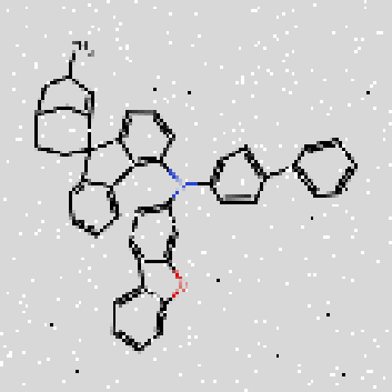 CC1C=C2CC(CCC23c2ccccc2-c2c(N(c4ccc(-c5ccccc5)cc4)c4ccc5c(c4)oc4ccccc45)cccc23)C1